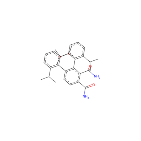 CC(C)c1cccc(C(C)C)c1-c1ccc(C(N)=O)c(C(N)=O)c1-c1c(C(C)C)cccc1C(C)C